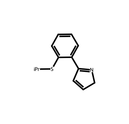 CC(C)Sc1ccccc1C1=NCC=C1